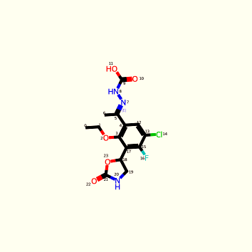 CCOc1c(/C(C)=N/NC(=O)O)cc(Cl)c(F)c1C1CNC(=O)O1